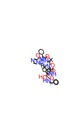 CCC12CC[C@H]3CN(C(=O)[C@@H](NC(=O)[C@@H](NC(=O)c4cnccn4)C4CCCCC4)C(C)(C)C)[C@H](C(=O)N[C@@H]1C(O)C(=O)N[C@@H](C)c1ccccc1)[C@H]32